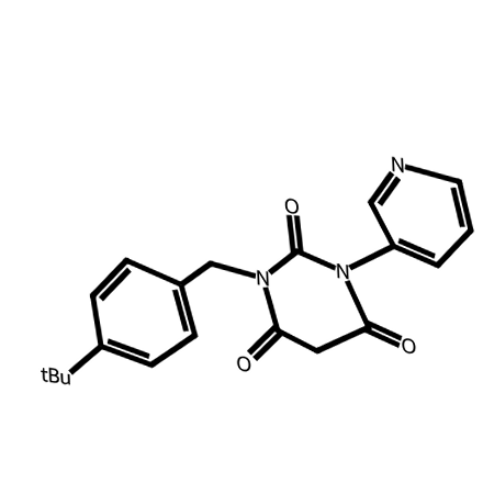 CC(C)(C)c1ccc(CN2C(=O)CC(=O)N(c3cccnc3)C2=O)cc1